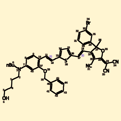 CCCCN(CCCCO)c1ccc(/C=C/c2ccc(/C=C/C3=C(C#N)C(=C(C#N)C#N)OC3(C)c3cccc(Br)c3)s2)c(OCc2ccccc2)c1